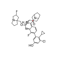 C=CC(=O)N1C2CCC1CC(c1nc(OCC34CCCN3CC(F)C4)nc3c(F)c(-c4cc(O)cc(Cl)c4C4CC4)ccc13)C2